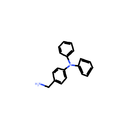 NCc1ccc(N(c2cc[c]cc2)c2ccccc2)cc1